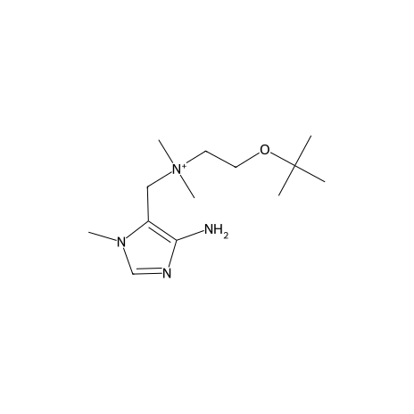 Cn1cnc(N)c1C[N+](C)(C)CCOC(C)(C)C